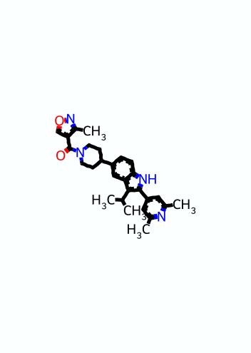 Cc1cc(-c2[nH]c3ccc(C4CCN(C(=O)c5conc5C)CC4)cc3c2C(C)C)cc(C)n1